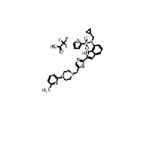 Cc1cccc(N2CCN(Cc3cnc(-c4cc5cccc(N(CC6CC6)S(=O)(=O)c6cccs6)c5[nH]4)s3)CC2)n1.O=C(O)C(F)(F)F